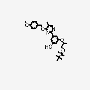 COc1ccc(COc2nc(-c3cc(O)cc(OC(C)CO[Si](C)(C)C(C)(C)C)c3)ncc2C)cc1